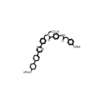 CCCCCC1CCC(C2CC=C(c3cnc(-c4ccc(CN(CC(=O)O)C(=O)c5ccc(NC(=O)Cc6ccc(OC)cc6)cc5)cc4)nc3)CC2)CC1